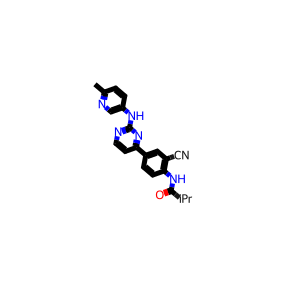 Cc1ccc(Nc2nccc(-c3ccc(NC(=O)C(C)C)c(C#N)c3)n2)cn1